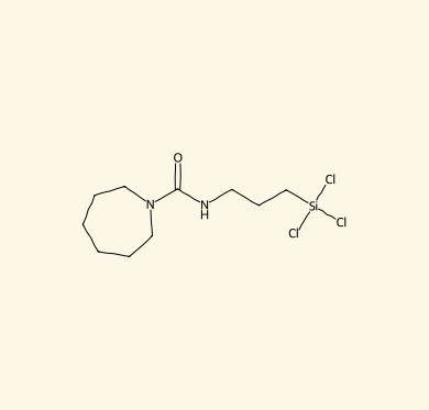 O=C(NCCC[Si](Cl)(Cl)Cl)N1CCCCCC1